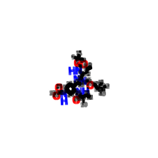 C=CC[C@H](NC(=O)OC(C)(C)C)c1nc(-c2ccc(NC(=O)OC)cc2NC(=O)[C@H](C)C=C)cn1COCC[Si](C)(C)C